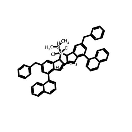 CC1=Cc2c(-c3cccc4ccccc34)cc(Cc3ccccc3)cc2[CH]1[Zr]([Cl])([Cl])([CH]1C(C)=Cc2c(-c3cccc4ccccc34)cc(Cc3ccccc3)cc21)[SiH](C)C